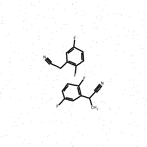 CC(C#N)c1cc(F)ccc1F.N#CCc1cc(F)ccc1F